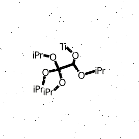 CC(C)OC([O][Ti])C(OC(C)C)(OC(C)C)OC(C)C